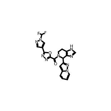 O=C(c1nnc(-c2cnn(C(F)F)c2)o1)N1CCc2[nH]cnc2C1c1cc2ccccn2n1